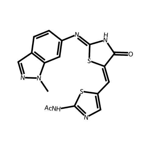 CC(=O)Nc1ncc(C=C2SC(=Nc3ccc4cnn(C)c4c3)NC2=O)s1